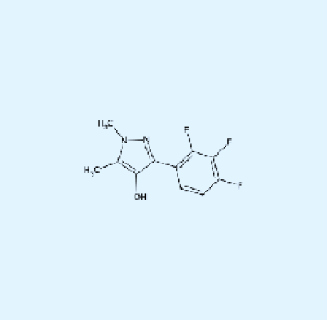 Cc1c(O)c(-c2ccc(F)c(F)c2F)nn1C